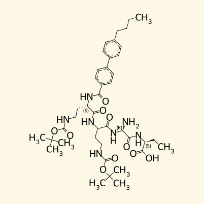 CCCCc1ccc(-c2ccc(C(=O)N[C@@H](CCNC(=O)OC(C)(C)C)C(=O)NC(CCNC(=O)OC(C)(C)C)C(=O)N[C@@H](N)C(=O)N[C@@H](CC)C(=O)O)cc2)cc1